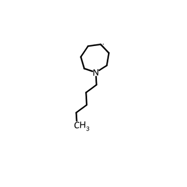 CCCCCN1CC[CH]CCC1